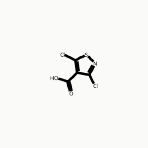 O=C(O)c1c(Cl)nsc1Cl